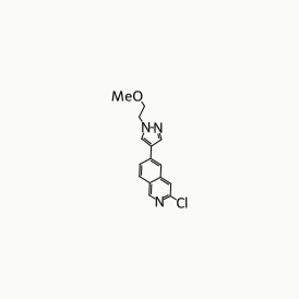 COCCn1cc(-c2ccc3cnc(Cl)cc3c2)cn1